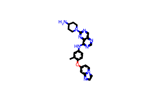 Cc1cc(Nc2ncnc3cnc(N4CCC(N)CC4)nc23)ccc1Oc1ccn2ccnc2c1